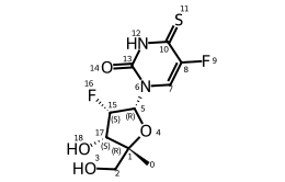 C[C@]1(CO)O[C@@H](n2cc(F)c(=S)[nH]c2=O)[C@@H](F)[C@H]1O